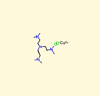 CN(C)CCN(CCN(C)C)CCN(C)C.[Cl-].[Cl-].[Cu+2]